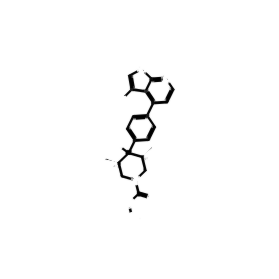 C[C@@H]1CN(C(=O)OC(C)(C)C)C[C@H](C)C1(O)c1ccc(-c2ccnc3[nH]cc(F)c23)cc1